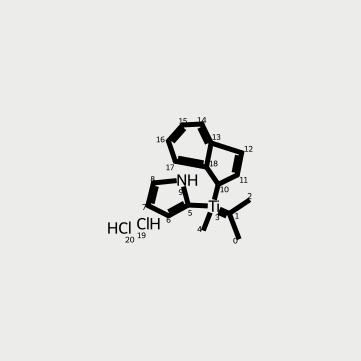 C[C](C)=[Ti]([CH3])([c]1ccc[nH]1)[CH]1C=Cc2ccccc21.Cl.Cl